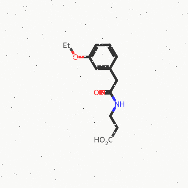 CCOc1cccc(CC(=O)NCCC(=O)O)c1